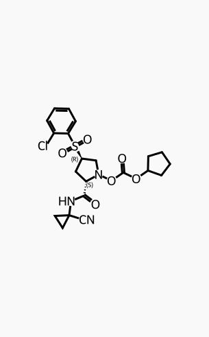 N#CC1(NC(=O)[C@@H]2C[C@@H](S(=O)(=O)c3ccccc3Cl)CN2OC(=O)OC2CCCC2)CC1